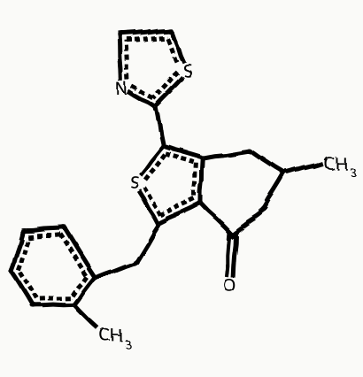 Cc1ccccc1Cc1sc(-c2nccs2)c2c1C(=O)CC(C)C2